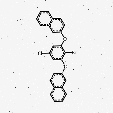 Clc1cc(Oc2ccc3ccccc3c2)c(Br)c(Oc2ccc3ccccc3c2)c1